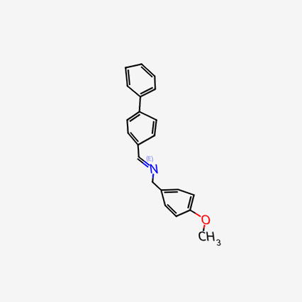 COc1ccc(C/N=C/c2ccc(-c3ccccc3)cc2)cc1